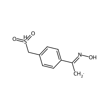 [CH2]C(=NO)c1ccc(C[SH](=O)=O)cc1